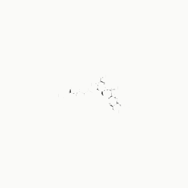 CC(=O)NCCCC[C@H](NC(C)=O)C(=O)N[C@@H](C)C(=O)N[C@@H](C)C(=O)O